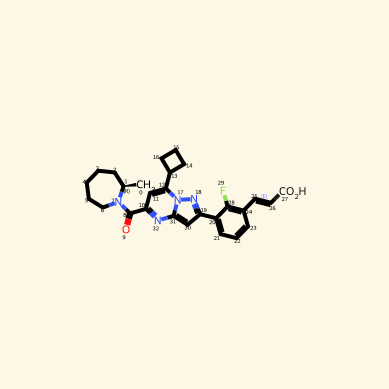 C[C@@H]1CCCCCN1C(=O)c1cc(C2CCC2)n2nc(-c3cccc(/C=C/C(=O)O)c3F)cc2n1